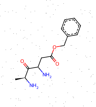 C[C@H](N)C(=O)C(N)CC(=O)OCc1ccccc1